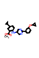 COC(=O)c1cc(C2CC2)ccc1Nc1cnc(-c2cccc(OC3CC3)c2)nc1